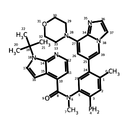 Cc1cc(P)c(N(C)C(=O)c2ccnc3c2ccn3C(C)(C)C)cc1-c1cc(N2CCOCC2)c2nccn2c1